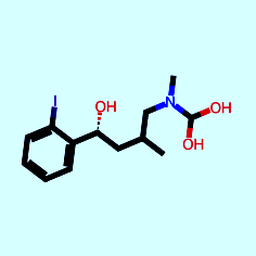 CC(C[C@@H](O)c1ccccc1I)CN(C)C(O)O